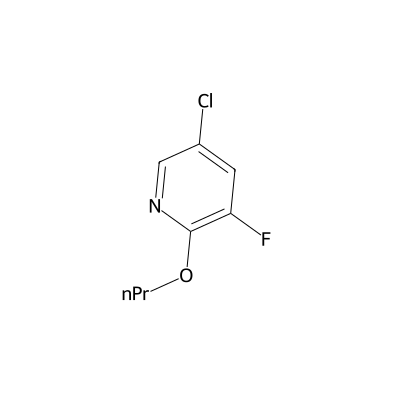 CCCOc1ncc(Cl)cc1F